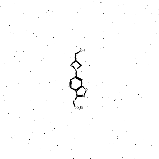 CCOC(=O)Cc1noc2cc(N3CC(CO)C3)ccc12